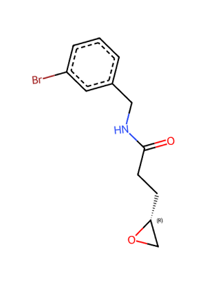 O=C(CC[C@@H]1CO1)NCc1cccc(Br)c1